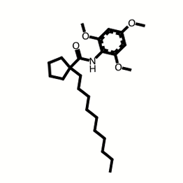 CCCCCCCCCCC1(C(=O)Nc2c(OC)cc(OC)cc2OC)CCCC1